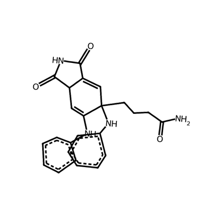 NC(=O)CCCC1(Nc2ccccc2)C=C2C(=O)NC(=O)C2C=C1Nc1ccccc1